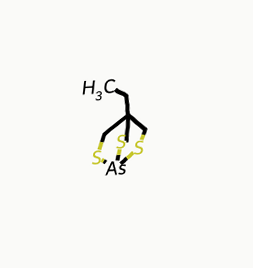 CCC12CS[As](SC1)SC2